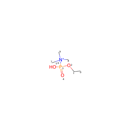 CCOP(=O)(O)[N+](C)(C)C